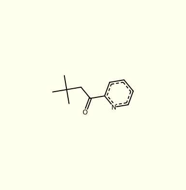 CC(C)(C)CC(=O)c1ccccn1